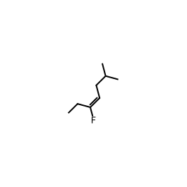 CC/C(F)=C\CC(C)C